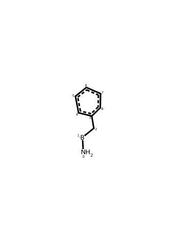 N[B]Cc1ccccc1